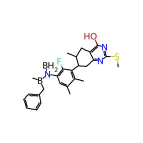 BN(B(C)Cc1ccccc1)c1cc(C)c(C)c(C2Cc3nc(SC)nc(O)c3CC2C)c1F